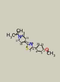 COc1ccc(-c2csc(-c3cc[n+](C(C)C)cc3)n2)cc1